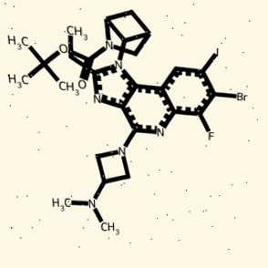 CCc1nc2c(N3CC(N(C)C)C3)nc3c(F)c(Br)c(I)cc3c2n1C1C2CC1N(C(=O)OC(C)(C)C)C2